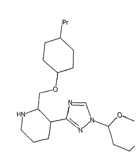 CC(C)C1CCC(OCC2NCCCC2c2ncn(C3CCCCO3)n2)CC1